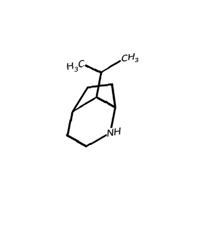 CC(C)C1C2CCNC1CC2